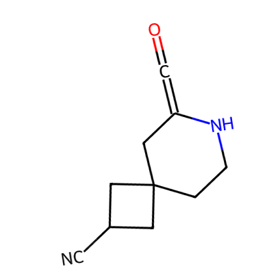 N#CC1CC2(CCNC(=C=O)C2)C1